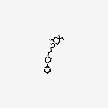 CCC1(C)CC[N+]([O-])(CCCCN2CCN(c3ncccn3)CC2)C(=O)C1